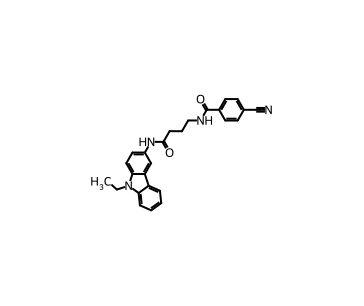 CCn1c2ccccc2c2cc(NC(=O)CCCNC(=O)c3ccc(C#N)cc3)ccc21